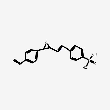 C=Cc1ccc(C2OC2/C=C/c2ccc(P(=O)(O)O)cc2)cc1